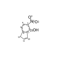 O=[N+]([O-])c1ccc2c(c1O)C=CC2